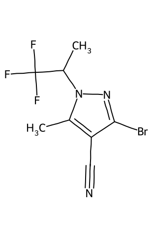 Cc1c(C#N)c(Br)nn1C(C)C(F)(F)F